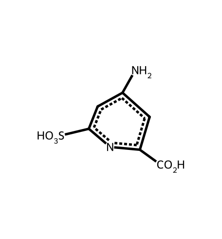 Nc1cc(C(=O)O)nc(S(=O)(=O)O)c1